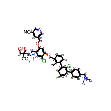 Cc1c(COc2cc(OCc3cncc(C#N)c3)c(CNC(C)(CO)C(=O)O)cc2Cl)cccc1-c1cc(F)cc(-c2ccc(CN(C)C)cc2)c1Cl